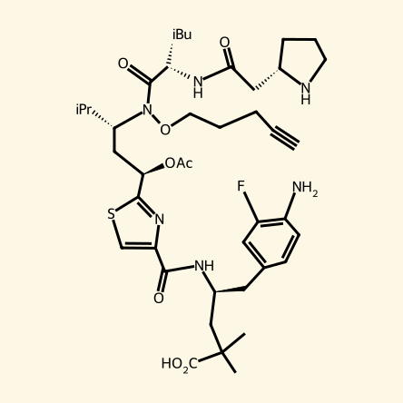 C#CCCCON(C(=O)[C@@H](NC(=O)C[C@@H]1CCCN1)[C@@H](C)CC)[C@H](C[C@@H](OC(C)=O)c1nc(C(=O)N[C@@H](Cc2ccc(N)c(F)c2)CC(C)(C)C(=O)O)cs1)C(C)C